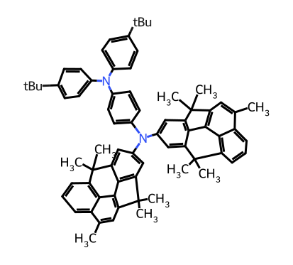 Cc1cc2c3c4c(cccc14)C(C)(C)c1cc(N(c4ccc(N(c5ccc(C(C)(C)C)cc5)c5ccc(C(C)(C)C)cc5)cc4)c4cc5c6c(c4)C(C)(C)c4cccc7c(C)cc(c-6c47)C5(C)C)cc(c1-3)C2(C)C